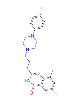 Cc1cc(F)cc2c(=O)[nH]c(CCCN3CCN(c4ccc(F)cc4)CC3)cc12